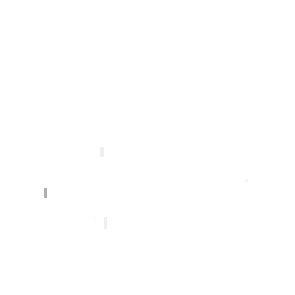 CC(CCCl)CCCCC(C)(C)C